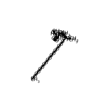 COCCOCCOCCOCCOCCOCCOCCOCCOCCOCCOCCOCCOCCOCCOCCOCCOCCCc1cc(NC(=O)[C@H](C)NC(=O)[C@@H](NC(=O)CN2C(=O)[C@@H](N3C(=O)C=CC3=O)C[C@H]2COCCS(=O)(=O)O)C(C)C)ccc1COCC(C)(C)C